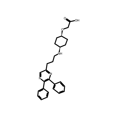 O=C(O)CO[C@H]1CC[C@@H](NCCCc2cnc(-c3ccccc3)c(-c3ccccc3)n2)CC1